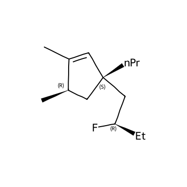 CCC[C@]1(C[C@H](F)CC)C=C(C)[C@H](C)C1